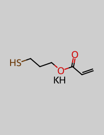 C=CC(=O)OCCCS.[KH]